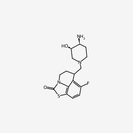 N[C@H]1CCN(CC2CCn3c(=O)sc4ccc(F)c2c43)C[C@H]1O